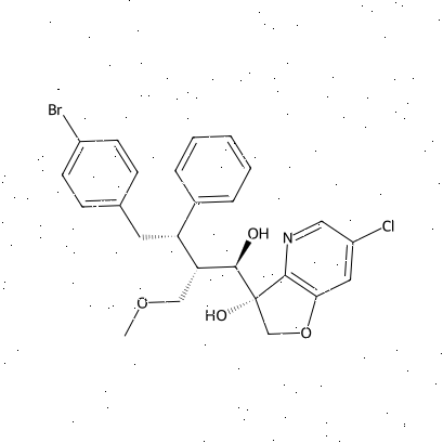 COC[C@H]([C@H](Cc1ccc(Br)cc1)c1ccccc1)[C@@H](O)[C@]1(O)COc2cc(Cl)cnc21